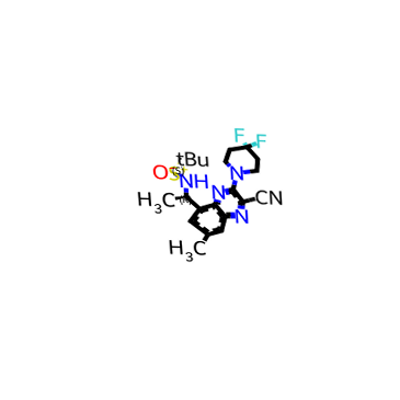 Cc1cc([C@@H](C)N[S@+]([O-])C(C)(C)C)c2nc(N3CCC(F)(F)CC3)c(C#N)nc2c1